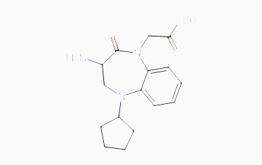 CC(C)(C)C(=O)CN1C(=O)C(N)CN(C2CCCC2)c2ccccc21